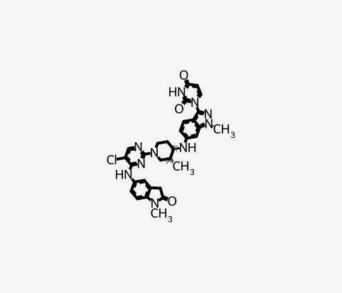 C[C@@H]1CN(c2ncc(Cl)c(Nc3ccc4c(c3)CC(=O)N4C)n2)CC[C@H]1Nc1ccc2c(-n3ccc(=O)[nH]c3=O)nn(C)c2c1